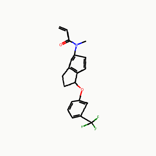 C=CC(=O)N(C)c1ccc2c(c1)CCC2Oc1cccc(C(F)(F)F)c1